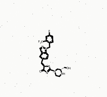 O=C1N=C(N2CCN[C@@H](CO)C2)S/C1=C\c1ccc2c(cnn2Cc2ccc(F)cc2C(F)(F)F)c1